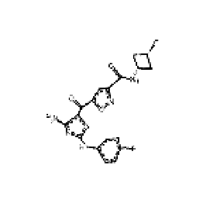 Nc1nc(Nc2ccc(F)cc2)sc1C(=O)c1cc(C(=O)N[C@H]2C[C@H](F)C2)no1